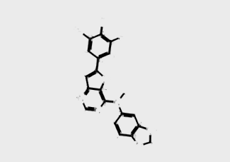 CN(c1ccc2c(c1)OCO2)c1ncnc2cc(-c3cc(F)c(F)c(F)c3)sc12